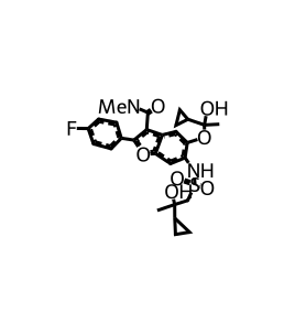 CNC(=O)c1c(-c2ccc(F)cc2)oc2cc(NS(=O)(=O)CC(C)(O)C3CC3)c(OC(C)(O)C3CC3)cc12